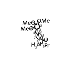 COc1ccc(CN2CCN(C(=O)[C@@H](N)C(C)C)CC2)c(OC)c1OC